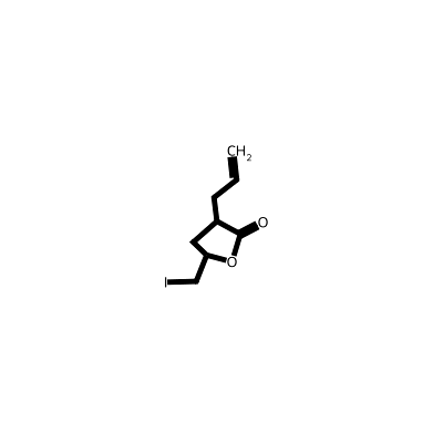 C=CCC1CC(CI)OC1=O